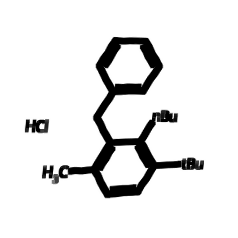 CCCCc1c(C(C)(C)C)ccc(C)c1Cc1ccccc1.Cl